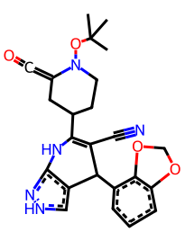 CC(C)(C)ON1CCC(C2=C(C#N)C(c3cccc4c3OCO4)c3c[nH]nc3N2)CC1=C=O